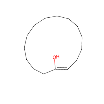 O/C1=C\CCCCCCCCCCCCC1